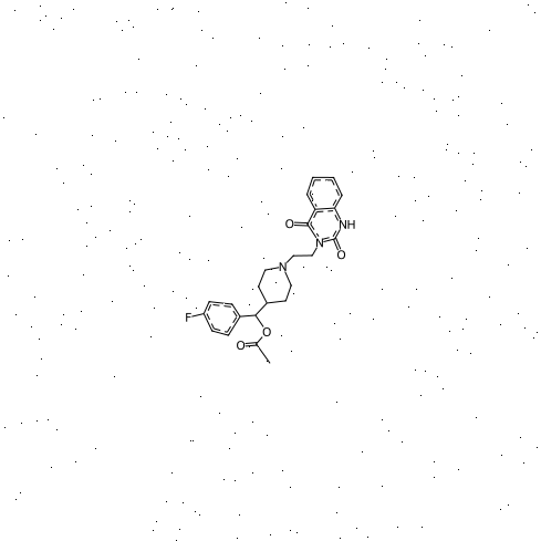 CC(=O)OC(c1ccc(F)cc1)C1CCN(CCn2c(=O)[nH]c3ccccc3c2=O)CC1